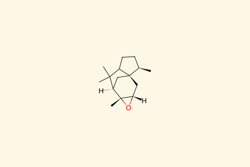 C[C@@H]1CCC2C(C)(C)[C@H]3C[C@]21C[C@@H]1O[C@@]13C